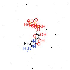 CCc1cn([C@@H]2O[C@H](COP(=O)(O)OP(=O)(O)OP(=O)(O)O)[C@H](O)[C@@H]2O)c(=O)nc1N